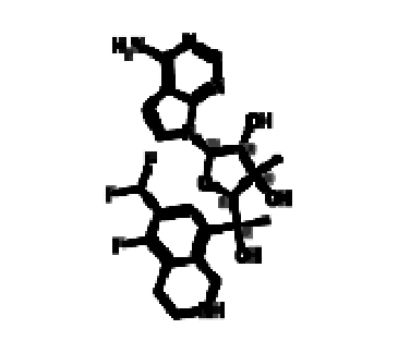 C[C@]1(O)[C@@H](O)[C@H](n2ccc3c(N)ncnc32)O[C@@H]1[C@](C)(O)c1cc(C(F)F)c(F)c2c1CNCC2